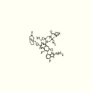 C[C@@H]1CN(C(=O)n2cncn2)[C@@H](C)CN1c1nc(OC[C@@]23CCCN2C[C@H](F)C3)nc2c(F)c(-c3ccc(F)c4sc(N)nc34)c(Cl)cc12